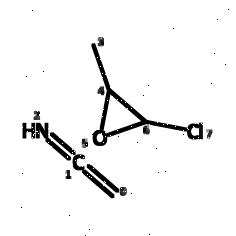 C=C=N.CC1OC1Cl